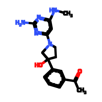 CNc1cc(N2CCC(O)(c3cccc(C(C)=O)c3)C2)nc(N)n1